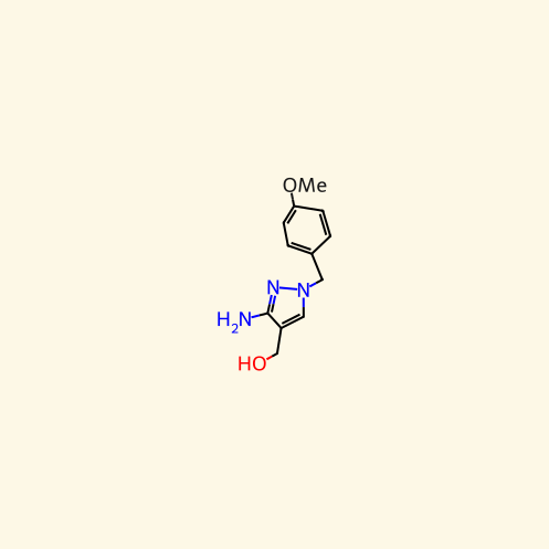 COc1ccc(Cn2cc(CO)c(N)n2)cc1